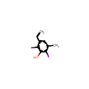 C=Cc1cc(C)c(I)c(O)c1I